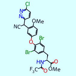 COC(=O)[C@H](Cc1cc(Br)c(Oc2ccc(OC)c(C(C#N)c3ccc(Cl)nn3)c2)c(Br)c1)NC(=O)C(F)(F)F